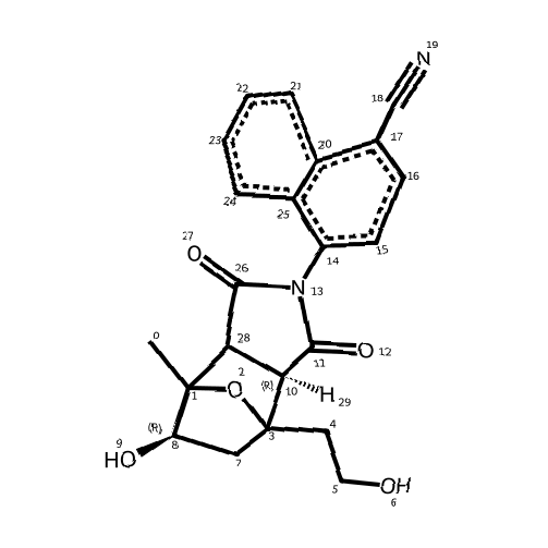 CC12OC(CCO)(C[C@H]1O)[C@@H]1C(=O)N(c3ccc(C#N)c4ccccc34)C(=O)C12